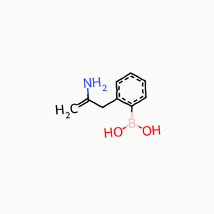 C=C(N)Cc1ccccc1B(O)O